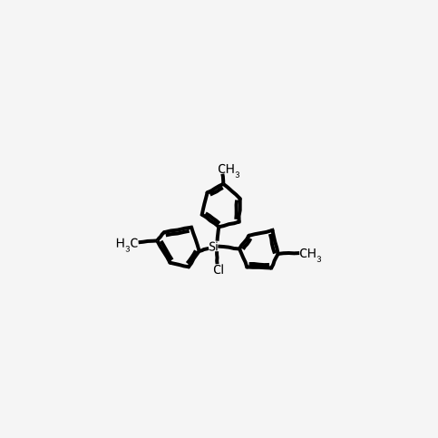 Cc1ccc([Si](Cl)(c2ccc(C)cc2)c2ccc(C)cc2)cc1